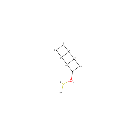 CSOC1CC2C3CCC3C12